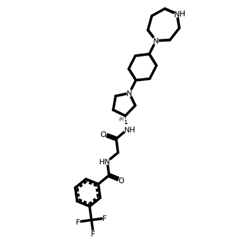 O=C(CNC(=O)c1cccc(C(F)(F)F)c1)N[C@@H]1CCN(C2CCC(N3CCCNCC3)CC2)C1